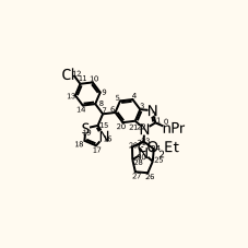 CCCc1nc2ccc(C(c3ccc(Cl)cc3)c3nccs3)cc2n1C1CC2CCC(C1)N2C(=O)OCC